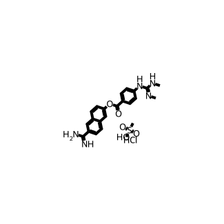 CN=C(NC)Nc1ccc(C(=O)Oc2ccc3cc(C(=N)N)ccc3c2)cc1.CS(=O)(=O)O.Cl